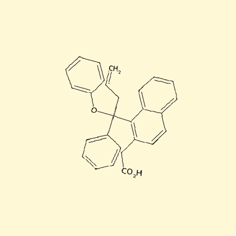 C=CCC(Oc1ccccc1)(c1ccccc1)c1c(CC(=O)O)ccc2ccccc12